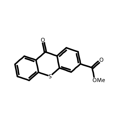 COC(=O)c1ccc2c(=O)c3ccccc3sc2c1